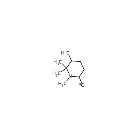 CC1CCC([4O])N(C)C1(C)C